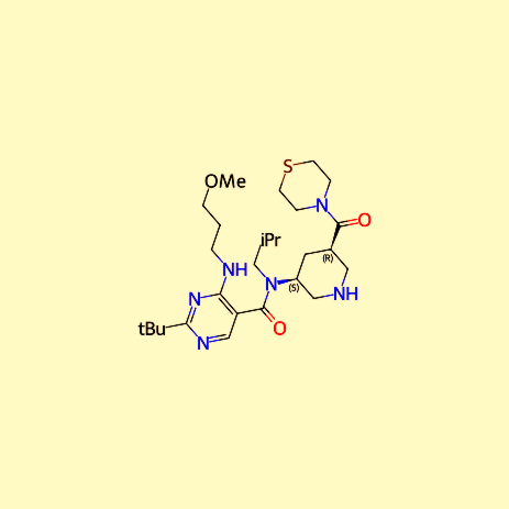 COCCCNc1nc(C(C)(C)C)ncc1C(=O)N(CC(C)C)[C@@H]1CNC[C@H](C(=O)N2CCSCC2)C1